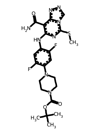 CSc1nc(Nc2cc(F)c(N3CCN(C(=O)OC(C)(C)C)CC3)cc2F)c(C(N)=O)c2nncn12